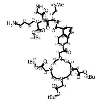 CSCC[C@H](NC(=O)c1cccc2c1CCN(C(=O)CN1CCN(CC(=O)OC(C)(C)C)CCN(CC(=O)OC(C)(C)C)CCN(CC(=O)OC(C)(C)C)CC1)C2)C(=O)N(C(=O)CN)[C@@H](CCCCN)C(=O)OC(C)(C)C